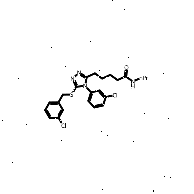 CCCNC(=O)CCCCc1nnc(SCc2cccc(Cl)c2)n1-c1cccc(Cl)c1